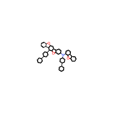 C1=CC2Oc3cc4c(oc5cc(N(c6ccc(-c7ccccc7)cc6)c6cccc7c6oc6ccccc67)ccc54)c(-c4ccc(-c5ccccc5)cc4)c3C2C=C1